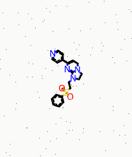 O=S(=O)(CCN1CCN2CC=C(c3ccncc3)N=C21)c1ccccc1